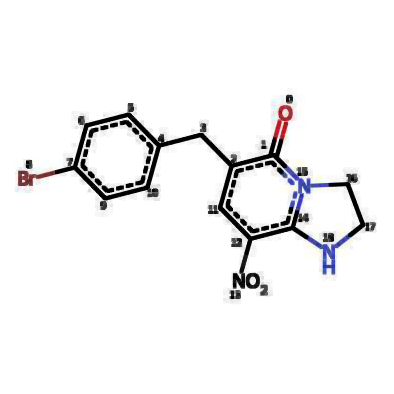 O=c1c(Cc2ccc(Br)cc2)cc([N+](=O)[O-])c2n1CCN2